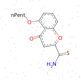 CCCCCOc1cccc2oc(C(N)=S)cc(=O)c12